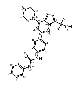 CC(C)(O)c1ccc2c(N3CCOCC3)nc(-c3ccc(NC(=O)Nc4cccnc4)cc3)nn12